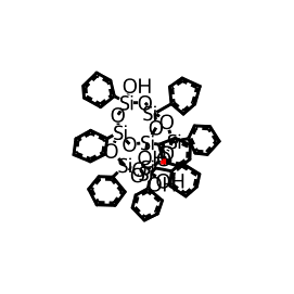 O[Si]1(c2ccccc2)O[Si]2(c3ccccc3)O[Si](O)(c3ccccc3)O[Si](c3ccccc3)(O1)O[Si]1(c3ccccc3)O[Si](O)(c3ccccc3)O[Si](c3ccccc3)(O[Si](O)(c3ccccc3)O1)O2